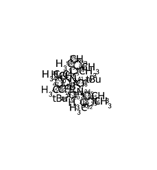 Cc1cc2c(cc1N1c3cc4c(cc3B3c5cc(C(C)(C)C)ccc5N(c5ccc6c(c5)C(C)(C)CCC6(C)C)c5cc(C(C)(C)C)cc1c53)C(C)(C)CCC4(C)C)C(C)(C)CCC2(C)C